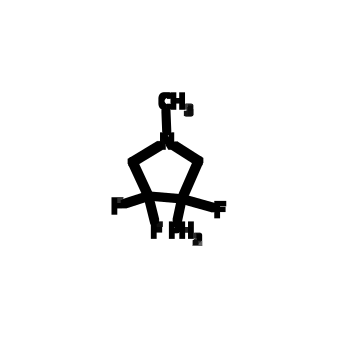 CN1CC(F)(F)C(F)(P)C1